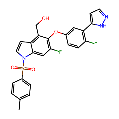 Cc1ccc(S(=O)(=O)n2ccc3c(CO)c(Oc4ccc(F)c(-c5ccn[nH]5)c4)c(F)cc32)cc1